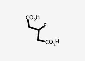 O=C(O)CC(F)CC(=O)O